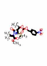 COC(=O)C(=C(C)C)N1C(=O)[C@H]([C@H](C)OC(=O)OCc2ccc([N+](=O)[O-])cc2)[C@H]1SC